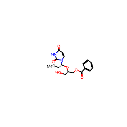 COC[C@@H](O[C@H](CO)COC(=O)c1ccccc1)n1ccc(=O)[nH]c1=O